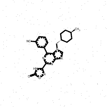 C[C@H]1CC[C@H](Cn2cnc3nc(-c4noc(=O)[nH]4)nc(-c4cccc(C#N)c4)c32)CC1